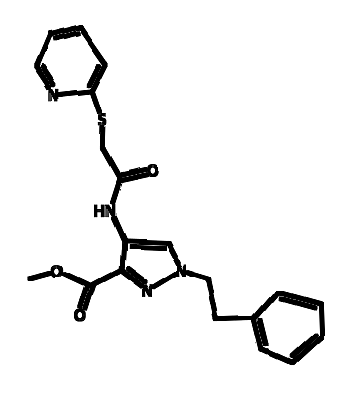 COC(=O)c1nn(CCc2ccccc2)cc1NC(=O)CSc1ccccn1